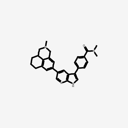 CN1Cc2cc(-c3cnc4[nH]cc(-c5ccc(C(=O)N(C)C)cc5)c4c3)cc3c2C(CCC3)C1